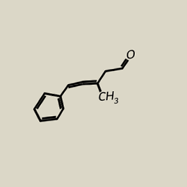 CC(=C=Cc1ccccc1)CC=O